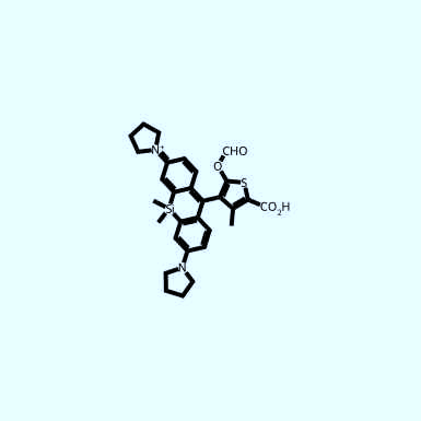 Cc1c(C(=O)O)sc(OC=O)c1C1=C2C=CC(=[N+]3CCCC3)C=C2[Si](C)(C)c2cc(N3CCCC3)ccc21